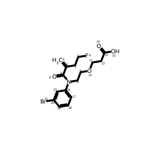 C=C(CCF)C(=O)N(CCOCCC(=O)O)c1cccc(Br)c1